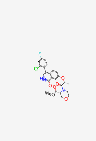 COC(=O)[C@H]1COCCN1C(=O)[C@@H](C)Oc1ccc2c(-c3ccc(F)cc3Cl)c[nH]c(=O)c2c1